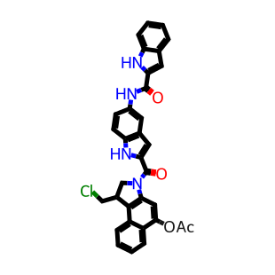 CC(=O)Oc1cc2c(c3ccccc13)C(CCl)CN2C(=O)c1cc2cc(NC(=O)c3cc4ccccc4[nH]3)ccc2[nH]1